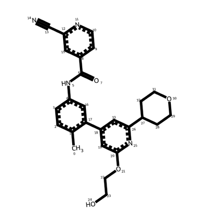 Cc1ccc(NC(=O)c2ccnc(C#N)c2)cc1-c1cc(OCCO)nc(C2CCOCC2)c1